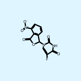 O=C1OC(n2cc(F)c(=O)[nH]c2=O)c2cccc([N+](=O)[O-])c21